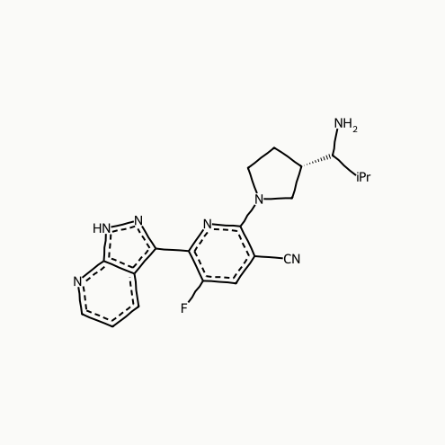 CC(C)C(N)[C@H]1CCN(c2nc(-c3n[nH]c4ncccc34)c(F)cc2C#N)C1